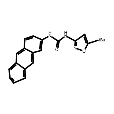 CC(C)(C)c1cc(NC(=O)Nc2ccc3cc4ccccc4cc3c2)no1